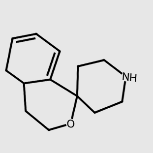 C1=CCC2CCOC3(CCNCC3)C2=C1